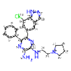 Nc1nc(-c2ccccc2)c(-c2cc(Cl)c3[nH]ncc3c2)nc1NCCN1CCCC1